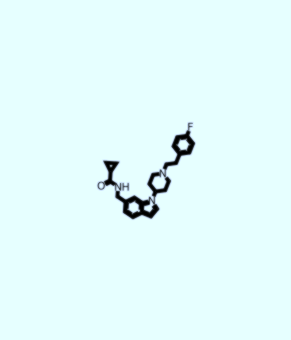 O=C(NCc1ccc2ccn(C3CCN(CCc4ccc(F)cc4)CC3)c2c1)C1CC1